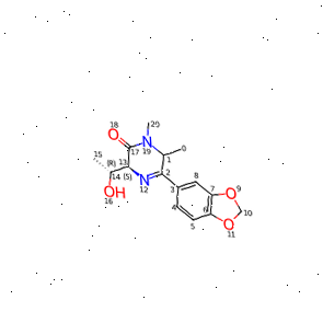 CC1C(c2ccc3c(c2)OCO3)=N[C@@H]([C@@H](C)O)C(=O)N1C